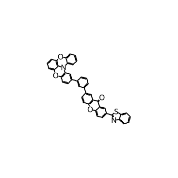 O=c1c2cc(-c3cccc(-c4ccc5c(c4)N4c6ccccc6Oc6cccc(c64)O5)c3)ccc2oc2ccc(-c3nc4ccccc4s3)cc12